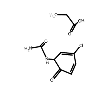 CCC(=O)O.NC(=O)NC1C=C(Cl)C=CC1=O